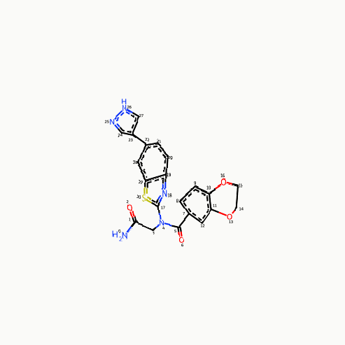 NC(=O)CN(C(=O)c1ccc2c(c1)OCCO2)c1nc2ccc(-c3cn[nH]c3)cc2s1